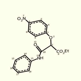 CCOC(=O)C(Oc1ccc([N+](=O)[O-])cc1)C(=O)Nc1ccccc1